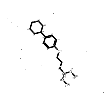 CC(C)O[SiH](CCCOc1ccc(C2CCCCC2)cc1)OC(C)C